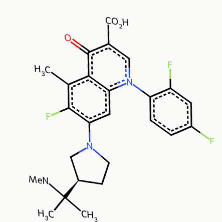 CNC(C)(C)[C@@H]1CCN(c2cc3c(c(C)c2F)c(=O)c(C(=O)O)cn3-c2ccc(F)cc2F)C1